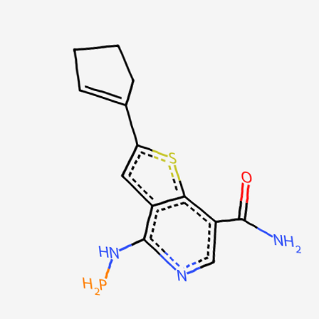 NC(=O)c1cnc(NP)c2cc(C3=CCCC3)sc12